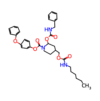 CCCCCCNC(=O)OCC1CCN(C(=O)Oc2ccc(Oc3ccccc3)cc2)C(OC(=O)NCc2ccccc2)C1